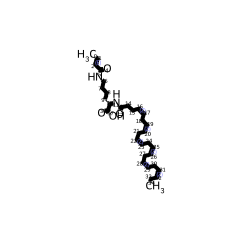 C/C=C/C(=O)NCCCC[C@H](NC(=O)CC/C=C\C/C=C\C/C=C\C/C=C\C/C=C\C/C=C\CC)C(=O)O